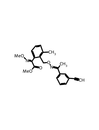 C#Cc1cccc(/C(C)=N/OCc2c(C)cccc2/C(=N\OC)C(=O)OC)c1